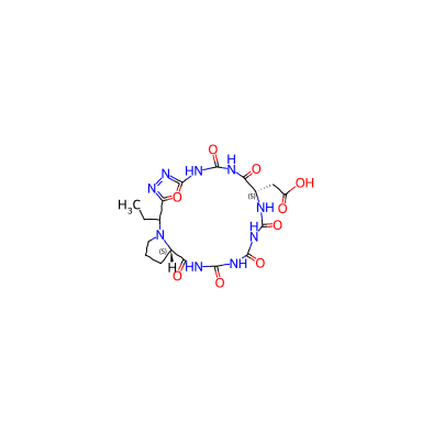 CCC1c2nnc(o2)NC(=O)NC(=O)[C@H](CC(=O)O)NC(=O)NC(=O)NC(=O)NC(=O)[C@@H]2CCCN12